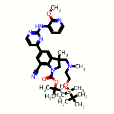 COc1ncccc1Nc1nccc(-c2cc(C#N)c3c(c2)C(C)(CN(C)CCO[Si](C)(C)C(C)(C)C)CN3C(=O)OC(C)(C)C)n1